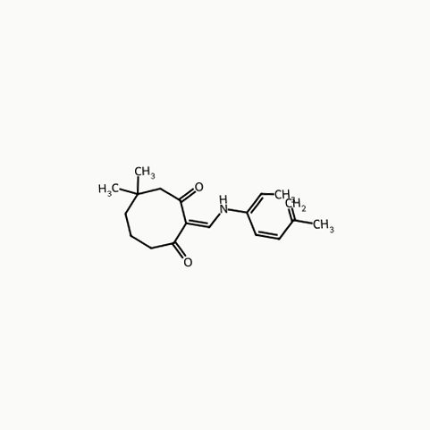 C=C(C)/C=C\C(=C/C)N/C=C1/C(=O)CCCC(C)(C)CC1=O